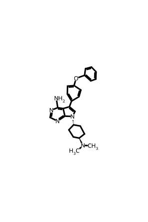 CN(C)[C@H]1CC[C@H](n2cc(-c3ccc(Oc4ccccc4)cc3)c3c(N)ncnc32)CC1